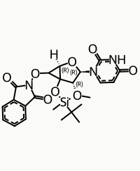 CO[C@H]1[C@H](n2ccc(=O)[nH]c2=O)O[C@@H]2C(ON3C(=O)c4ccccc4C3=O)C21O[Si](C)(C)C(C)(C)C